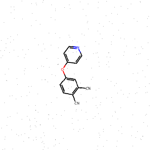 N#Cc1ccc(Oc2ccncc2)cc1C#N